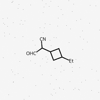 CCC1CC(C(C#N)C=O)C1